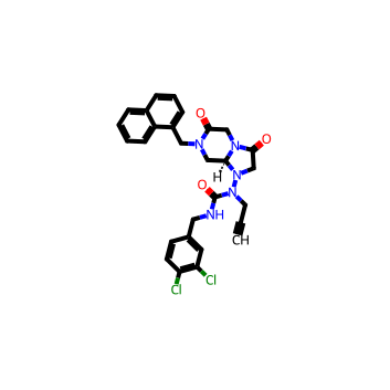 C#CCN(C(=O)NCc1ccc(Cl)c(Cl)c1)N1CC(=O)N2CC(=O)N(Cc3cccc4ccccc34)C[C@@H]21